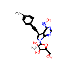 Cc1ccc(C#Cc2cn(C3OC(CO)C(O)[C@@]3(C)O)c3ncnc(NO)c23)cc1